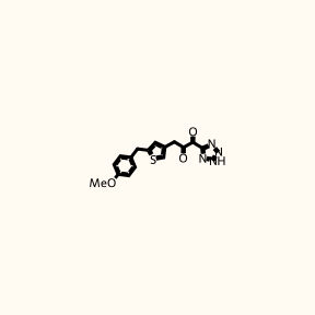 COc1ccc(Cc2cc(CC(=O)C(=O)c3nn[nH]n3)cs2)cc1